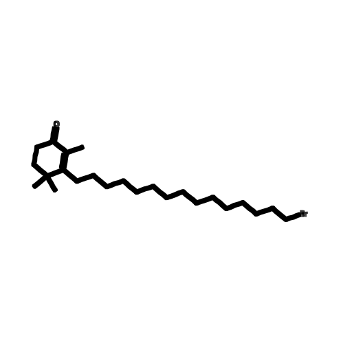 CC1=C(CCCCCCCCCCCCCCCBr)C(C)(C)CCC1=O